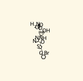 NS(=O)(=O)OC[C@H]1C[C@@H](Nc2ncncc2C(=O)c2cc(COc3ccccc3Br)cs2)C[C@@H]1O